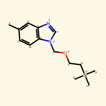 Cc1[c]c2ncn(COCC[Si](C)(C)C)c2cc1